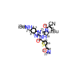 CC[C@H](C)NCc1ccc2c(c1)nc(NC(=O)c1ccc(-c3cnco3)s1)n2C[C@H]1CCCN1C(=O)C(C#N)=CC(C)(C)C